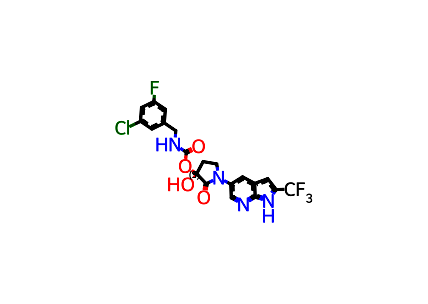 O=C(NCc1cc(F)cc(Cl)c1)O[C@@]1(O)CCN(c2cnc3[nH]c(C(F)(F)F)cc3c2)C1=O